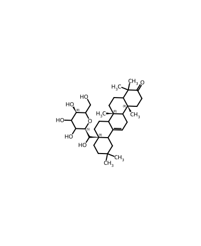 CC1(C)CC[C@]2(C(O)[C@@H]3OC(CO)[C@H](O)C(O)C3O)CCC3C(=CCC4[C@@]3(C)CCC3C(C)(C)C(=O)CC[C@@]34C)C2C1